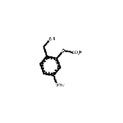 COc1ccc(CO)c(OC(=O)O)c1